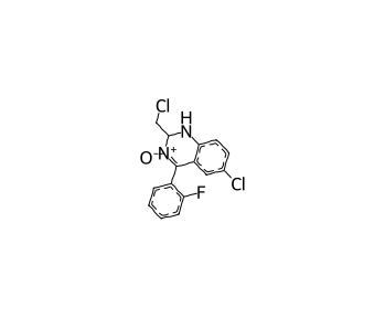 [O-][N+]1=C(c2ccccc2F)c2cc(Cl)ccc2NC1CCl